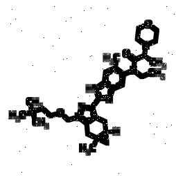 CCN(C(=O)[C@H](C)N1CCOCC1)c1cc2nc(-c3nn(COCC[Si](C)(C)C)c4c3C[C@@H]3C[C@]3(C)C4)[nH]c2cc1C